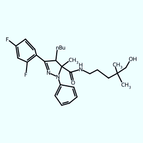 CCCCC1C(c2ccc(F)cc2F)=NN(c2ccccc2)C1(C)C(=O)NCCCC(C)(C)CO